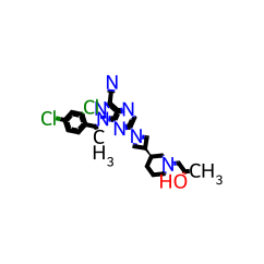 CC(O)CN1CCC[C@@H](C2CN(c3cnc4c(C#N)nn(C(C)c5ccc(Cl)cc5Cl)c4n3)C2)C1